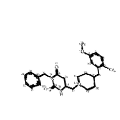 CC(C)Oc1ccc(Cl)c(CC2CCN(CC3CC(=O)N(Cc4ccccc4)C(=O)N3)CC2)c1